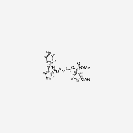 COC(=O)C(OCCCCOc1nc(-c2ccc(C)cc2)nc2ccccc12)c1cccc(OC)c1